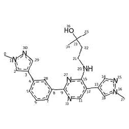 Cn1cc(-c2cccc(-c3ncc(-c4cnn(C)c4)c(NCCC(C)(C)O)n3)c2)cn1